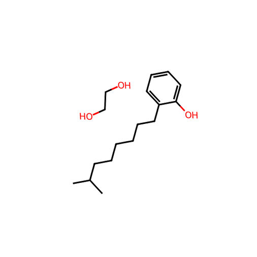 CC(C)CCCCCCc1ccccc1O.OCCO